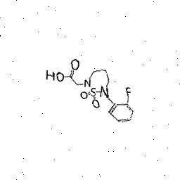 O=C(O)CN1CCCN(c2ccccc2F)S1(=O)=O